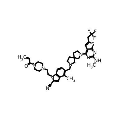 C=CC(=O)N1CCN(CCn2c(C#N)cc3c(C)c(CN4CCC5(CCN(c6nc(NC)nc7sc(CC(F)(F)F)cc67)C5)C4)ccc32)CC1